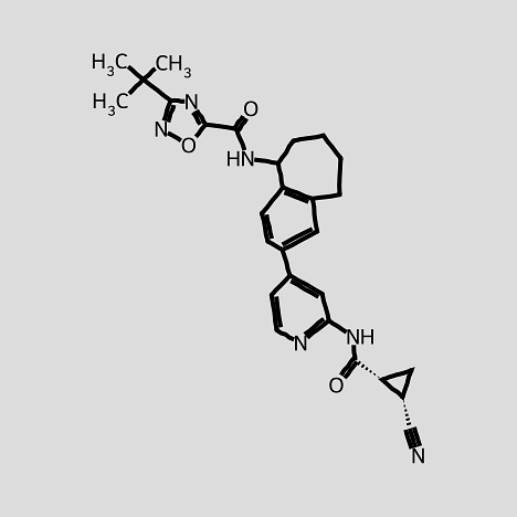 CC(C)(C)c1noc(C(=O)NC2CCCCc3cc(-c4ccnc(NC(=O)[C@@H]5C[C@@H]5C#N)c4)ccc32)n1